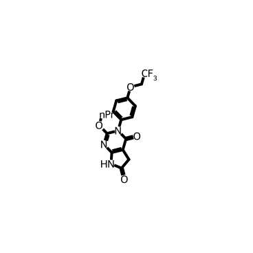 CCCOc1nc2c(c(=O)n1-c1ccc(OCC(F)(F)F)cc1)CC(=O)N2